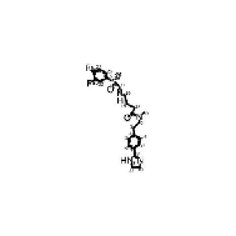 CN(CCc1ccc(C2=NCCN2)cc1)C(=O)CCCNCS(=O)(=O)c1ccc(F)c(F)c1